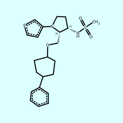 CS(=O)(=O)N[C@H]1CCN(c2ccsc2)[C@H]1COC1CCC(c2ccccc2)CC1